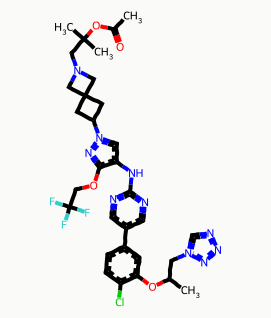 CC(=O)OC(C)(C)CN1CC2(CC(n3cc(Nc4ncc(-c5ccc(Cl)c(OC(C)Cn6cnnn6)c5)cn4)c(OCC(F)(F)F)n3)C2)C1